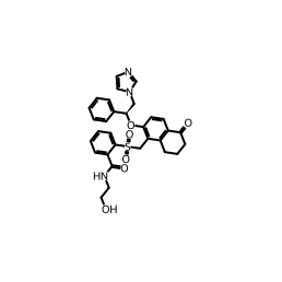 O=C(NCCO)c1ccccc1S(=O)(=O)Cc1c(O[C@H](Cn2ccnc2)c2ccccc2)ccc2c1CCCC2=O